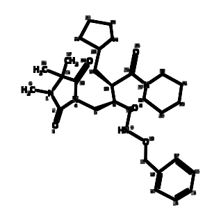 CN1C(=O)N(C[C@H](C(=O)NOCc2ccccc2)[C@@H](CC2CCCC2)C(=O)N2CCCCC2)C(=O)C1(C)C